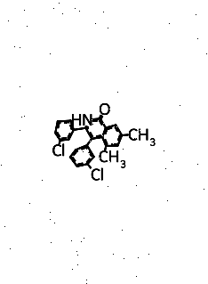 Cc1cc(C)c2c(-c3cccc(Cl)c3)c(-c3cccc(Cl)c3)[nH]c(=O)c2c1